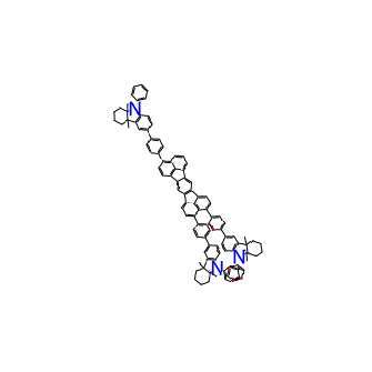 CC12CCCCC1(C)N(c1ccccc1)c1ccc(-c3ccc(-c4ccc5c6cc7c(cc6c6cccc4c65)c4ccc(-c5ccc(-c6ccc8c(c6)C6(C)CCCCC6(C)N8c6ccccc6)cc5)c5c(-c6ccc(-c8ccc9c(c8)C8(C)CCCCC8(C)N9c8ccccc8)cc6)ccc7c54)cc3)cc12